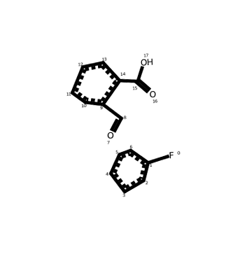 Fc1ccccc1.O=Cc1ccccc1C(=O)O